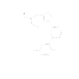 COc1cnc(Br)cc1-c1cccc(-n2cnc3cc([C@H](C)O)ccc32)c1